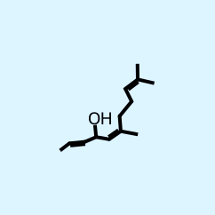 CC=CC(O)C=C(C)CCC=C(C)C